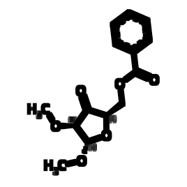 CO[C@H]1O[C@H](COC(=O)c2ccccc2)C(=O)[C@@H]1OC